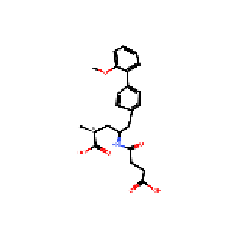 COc1ccccc1-c1ccc(CC(C[C@H](C)C(=O)O)NC(=O)CCC(=O)O)cc1